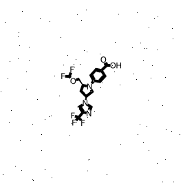 O=C(O)c1ccc(N2C[C@@H](n3cnc(C(F)(F)F)c3)C[C@H]2COC(F)F)cc1